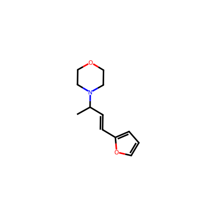 CC(/C=C/c1ccco1)N1CCOCC1